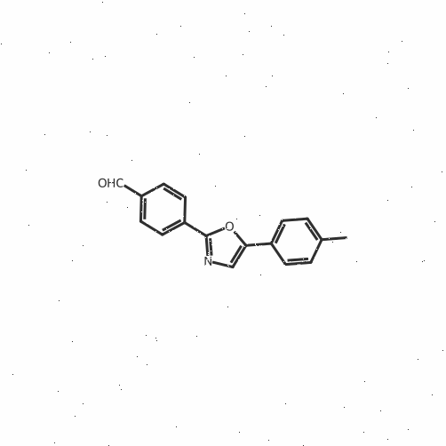 Cc1ccc(-c2cnc(-c3ccc(C=O)cc3)o2)cc1